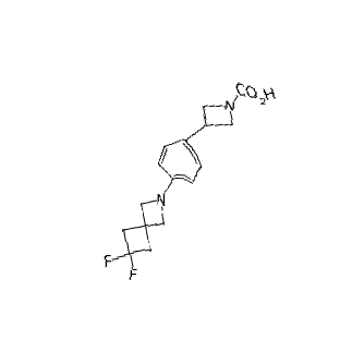 O=C(O)N1CC(c2ccc(N3CC4(C3)CC(F)(F)C4)cc2)C1